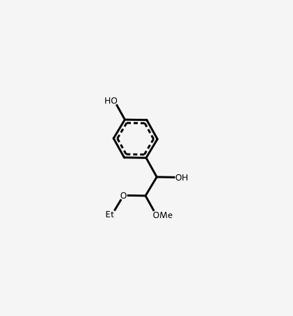 CCOC(OC)C(O)c1ccc(O)cc1